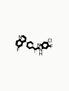 C[C@@H](c1nc2cc(Cl)c(F)cc2[nH]1)[C@H]1CC[C@@H](c2ccnc3ccc(F)cc32)CC1